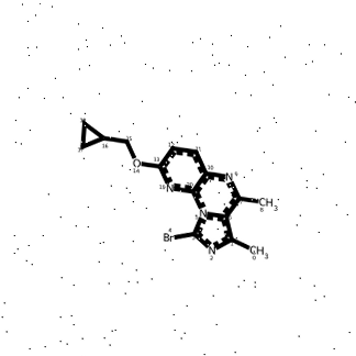 Cc1nc(Br)n2c1c(C)nc1ccc(OCC3CC3)nc12